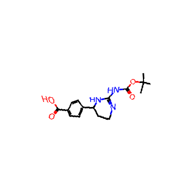 CC(C)(C)OC(=O)NC1=NCCC(c2ccc(C(=O)O)cc2)N1